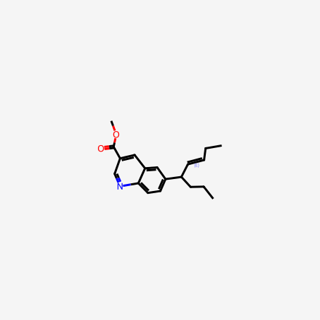 CC/C=C/C(CCC)c1ccc2ncc(C(=O)OC)cc2c1